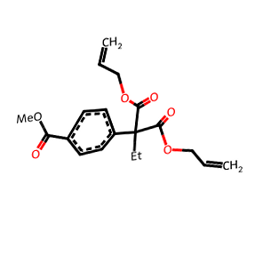 C=CCOC(=O)C(CC)(C(=O)OCC=C)c1ccc(C(=O)OC)cc1